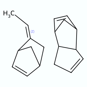 C/C=C1/CC2C=CC1C2.C1=CC2C3C=CC(C3)C2C1